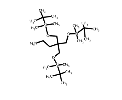 CC(C)(C)[Si](C)(C)OCC(CCN)(CO[Si](C)(C)C(C)(C)C)CO[Si](C)(C)C(C)(C)C